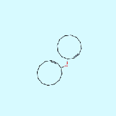 C1=CC(OC2C=CCCCCCCCCC2)CCCCCCCCC1